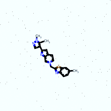 Cc1ccc2nc(Cn3ccc4cc(-c5cnn(C)c5C)nc-4c3)sc2c1